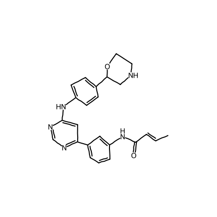 CC=CC(=O)Nc1cccc(-c2cc(Nc3ccc(C4CNCCO4)cc3)ncn2)c1